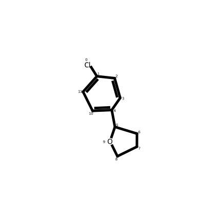 Clc1ccc(C2CCCO2)cc1